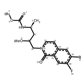 COC(C[C@H](C)NC(=O)OC(C)(C)C)Cn1ccc2cc(Br)c(F)cc2c1=O